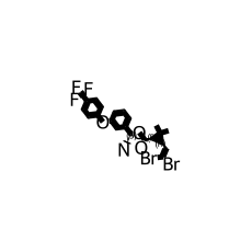 CC1(C)[C@H](C(=O)O[C@H](C#N)c2cccc(Oc3ccc(C(F)(F)F)cc3)c2)[C@@H]1C=C(Br)Br